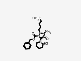 Cl.NN1N(CCCCC(=O)O)N(C(=O)OCc2ccccc2)C(N2CCCCC2)=[N+]1[O-]